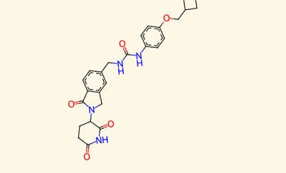 NCC1CC(COc2ccc(NC(=O)NCc3ccc4c(c3)CN(C3CCC(=O)NC3=O)C4=O)cc2)C1